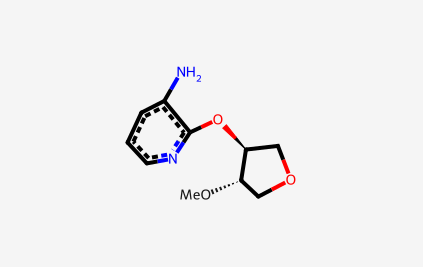 CO[C@H]1COC[C@@H]1Oc1ncccc1N